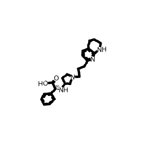 O=C(O)[C@H](NC1CCN(CCCc2ccc3c(n2)NCCC3)C1)c1ccccc1